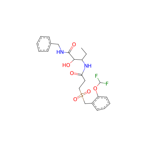 CCC(NC(=O)CCS(=O)(=O)Cc1ccccc1OC(F)F)C(O)C(=O)NCc1ccccc1